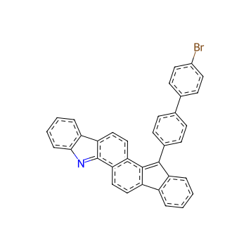 Brc1ccc(-c2ccc(C3=c4c(ccc5c6c(ccc45)-c4ccccc4N=6)-c4ccccc43)cc2)cc1